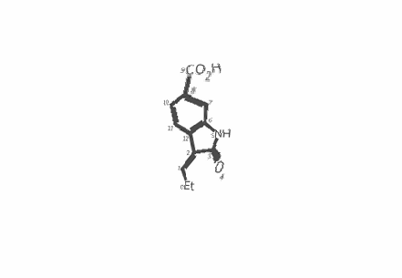 CCC=C1C(=O)Nc2cc(C(=O)O)ccc21